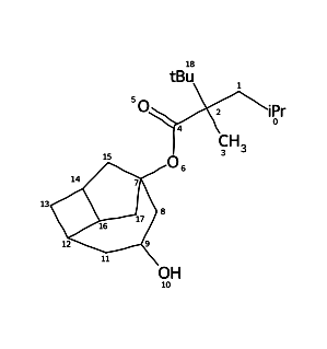 CC(C)CC(C)(C(=O)OC12CC(O)CC3CC(C1)C3C2)C(C)(C)C